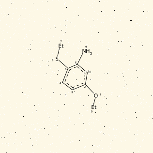 CCOc1ccc(SCC)c(N)c1